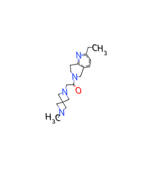 CCc1ccc2c(n1)CCN(C(=O)CN1CC3(CN(C)C3)C1)C2